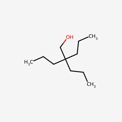 CCCC(CO)(CCC)CCC